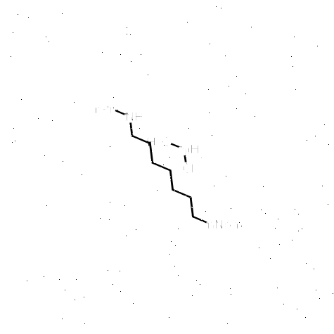 CCCCCCCCCCCCCCCCNCCC.C[SiH2]C